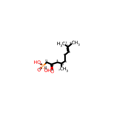 CC(C)=CCCC(C)CC(=O)CP(=O)(O)O